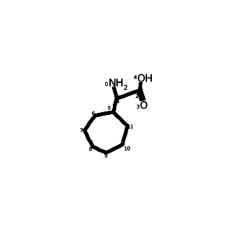 NC(C(=O)O)C1CCCCCC1